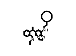 C=C/N=C\c1ccccc1C(=C)c1cc(NCCC2CCCCCCCCC2)c2nccn2c1